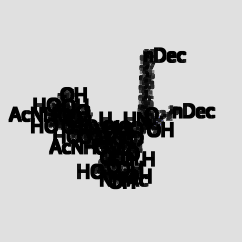 CCCCCCCCCCCCC/C=C/[C@@H](O)[C@H](CO[C@@H]1OC(CO)[C@@H](O[C@@H]2OC(CO)[C@H](O[C@@H]3OC(CO)[C@H](O)[C@H](O[C@@H]4OC(CO)[C@H](O)[C@H](O[C@]5(C(=O)O)CC(O)[C@@H](NC(C)=O)C([C@H](O)[C@H](O)CO)O5)C4O)C3NC(C)=O)[C@H](O[C@]3(C(=O)O)CC(O)[C@@H](NC(C)=O)C([C@H](O)[C@H](O)CO)O3)C2O)[C@H](O)C1O)NC(=O)CCCCCCCCCCCCCCCCCCCCC